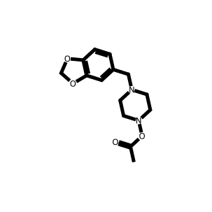 CC(=O)ON1CCN(Cc2ccc3c(c2)OCO3)CC1